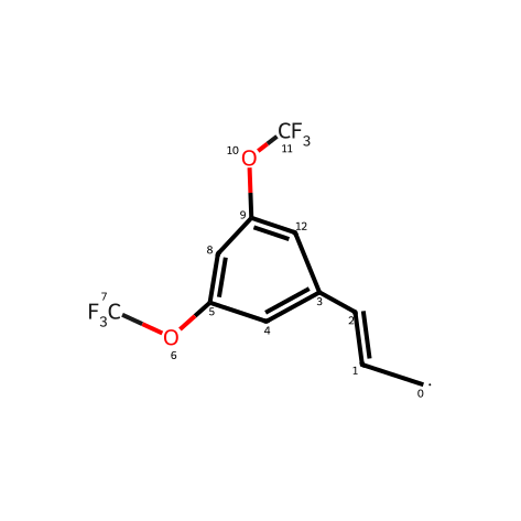 [CH2]C=Cc1cc(OC(F)(F)F)cc(OC(F)(F)F)c1